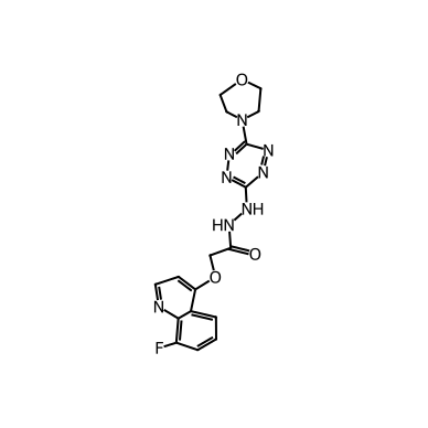 O=C(COc1ccnc2c(F)cccc12)NNc1nnc(N2CCOCC2)nn1